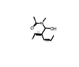 C/C=C\C(=C/C)C(O)N(C)C(C)=O